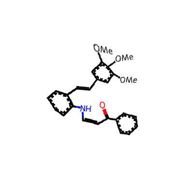 COc1cc(/C=C/c2ccccc2N/C=C\C(=O)c2ccccc2)cc(OC)c1OC